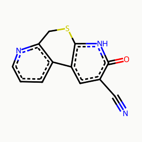 N#Cc1cc2c([nH]c1=O)SCc1ncccc1-2